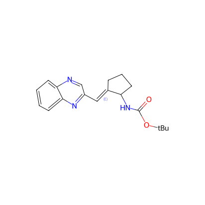 CC(C)(C)OC(=O)NC1CCC/C1=C\c1cnc2ccccc2n1